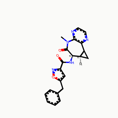 CN1C(=O)[C@H](NC(=O)c2cc(Cc3ccccc3)on2)[C@@H]2CC2c2nccnc21